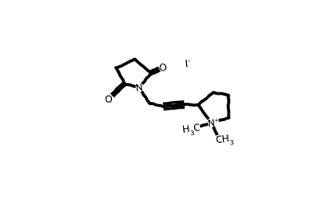 C[N+]1(C)CCCC1C#CCN1C(=O)CCC1=O.[I-]